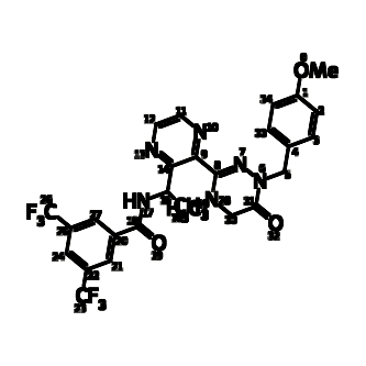 COc1ccc(CN2N=C(c3nccnc3C(C)NC(=O)c3cc(C(F)(F)F)cc(C(F)(F)F)c3)N(C)CC2=O)cc1